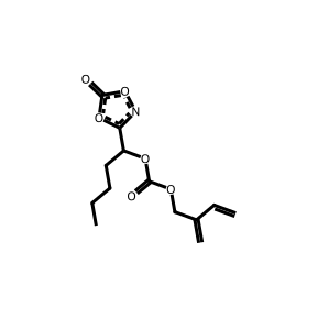 C=CC(=C)COC(=O)OC(CCCC)c1noc(=O)o1